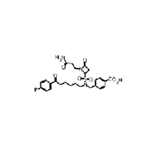 NC(=O)CCN1C(=O)CC1S(=O)(=O)N(CCCCCC(=O)c1ccc(F)cc1)Cc1ccc(C(=O)O)cc1